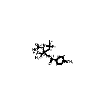 Cc1ccc(C(=O)NCC(CC(F)(F)F)(NC(=O)O)C(C)C)cc1